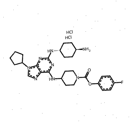 Cl.Cl.N[C@H]1CC[C@H](Nc2nc(NC3CCN(C(=O)Oc4ccc(F)cc4)CC3)c3ncn(C4CCCC4)c3n2)CC1